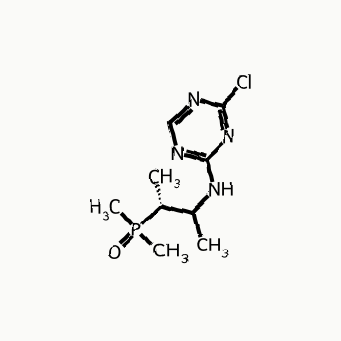 CC(Nc1ncnc(Cl)n1)[C@@H](C)P(C)(C)=O